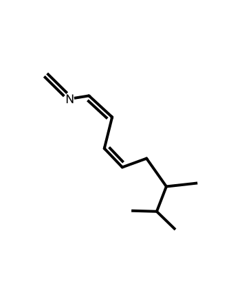 C=N/C=C\C=C/CC(C)C(C)C